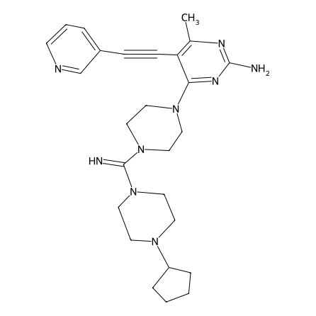 Cc1nc(N)nc(N2CCN(C(=N)N3CCN(C4CCCC4)CC3)CC2)c1C#Cc1cccnc1